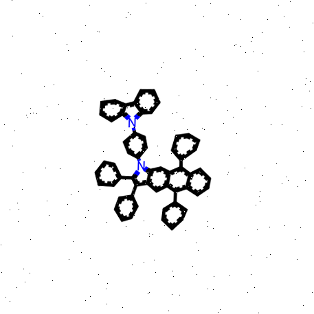 c1ccc(-c2c3ccccc3c(-c3ccccc3)c3cc4c(cc23)c(-c2ccccc2)c(-c2ccccc2)n4-c2ccc(-n3c4ccccc4c4ccccc43)cc2)cc1